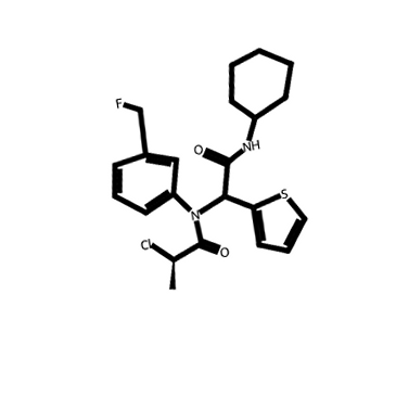 C[C@@H](Cl)C(=O)N(c1cccc(CF)c1)C(C(=O)NC1CCCCC1)c1cccs1